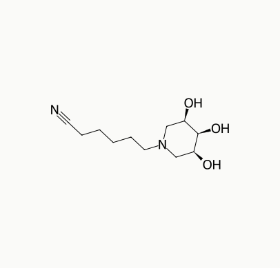 N#CCCCCCN1C[C@@H](O)[C@@H](O)[C@@H](O)C1